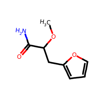 COC(Cc1ccco1)C(N)=O